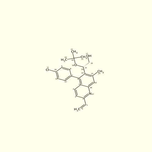 C=Cc1ccc2c(-c3ccc(Cl)cc3)c([C@@H](CO)OC(C)(C)C)c(C)cc2n1